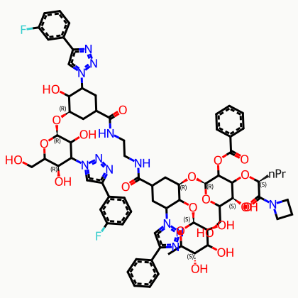 CCC[C@H](OC1C(OC(=O)c2ccccc2)[C@H](O[C@@H]2CC(C(=O)NCCNC(=O)C3CC(n4cc(-c5cccc(F)c5)nn4)C(O)[C@H](O[C@@H]4OC(CO)[C@H](O)C(n5cc(-c6cccc(F)c6)nn5)C4O)C3)CC(n3cc(-c4ccccc4)nn3)C2O[C@@H]2OC(C)[C@@H](O)C(O)C2O)OC(CO)[C@@H]1O)C(=O)N1CCC1